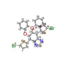 Brc1ccc(-c2c(Oc3ccccc3)c(Oc3ccccc3)c(-c3ccc(Br)s3)c3nsnc23)s1